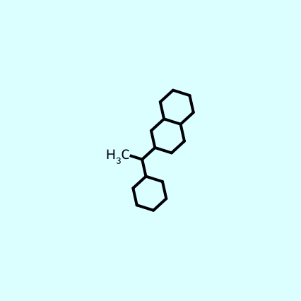 CC(C1CCCCC1)C1CCC2CCCCC2C1